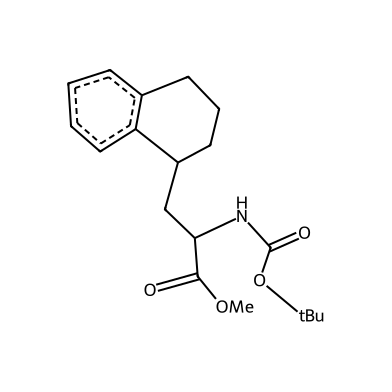 COC(=O)C(CC1CCCc2ccccc21)NC(=O)OC(C)(C)C